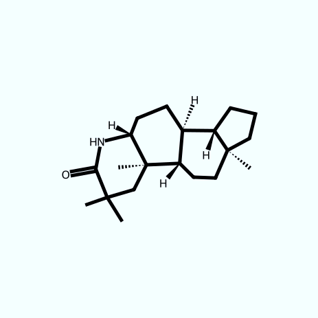 CC1(C)C[C@@]2(C)[C@@H](CC[C@H]3[C@@H]4CCC[C@@]4(C)CC[C@@H]32)NC1=O